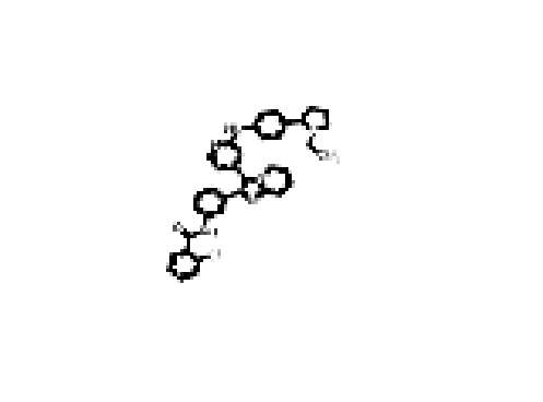 CCN1CCCC1c1ccc(Nc2nccc(-c3c(-c4cccc(NC(=O)c5ccccc5Cl)c4)nc4ccccn34)n2)cc1